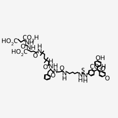 CC(C)(CCC(C)(C)NC(=O)CCC(NC(=O)NC(CCC(=O)O)C(=O)O)C(=O)O)CC(=O)NC(Cc1ccccc1)C(=O)NCC(=O)NCCCCCNC(=S)Nc1ccc(-c2c3ccc(=O)cc-3oc3cc(O)ccc23)c(C(=O)O)c1